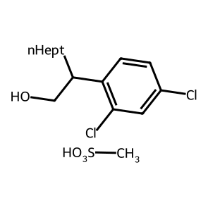 CCCCCCCC(CO)c1ccc(Cl)cc1Cl.CS(=O)(=O)O